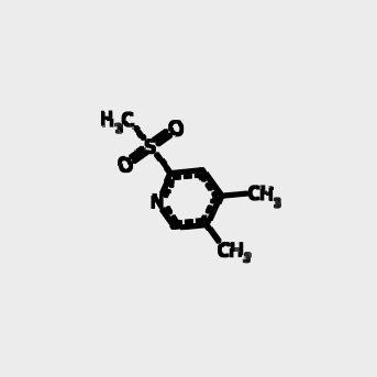 Cc1cnc(S(C)(=O)=O)cc1C